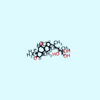 CC(CCC(O)C(C)(O)CO)C1CCC2(C)C3=C(CCC12C)C1(C)CCC(=O)C(C)(C)C1CC3=O